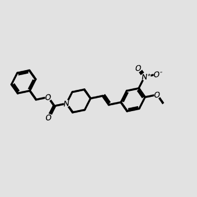 COc1ccc(/C=C/C2CCN(C(=O)OCc3ccccc3)CC2)cc1[N+](=O)[O-]